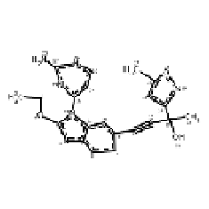 CCOc1nc2ccc(C#CC(C)(O)c3cc(C)on3)cc2n1-c1ccnc(N)n1